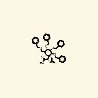 C=CC[C@]1([C@H](O)C(=O)OC)OC(COCc2ccccc2)[C@@H](OCc2ccccc2)[C@@H](OCc2ccccc2)C1OCc1ccccc1